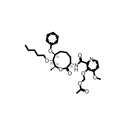 CCCCCO[C@H]1[C@H](C)OC(=O)[C@@H](NC(=O)c2nccc(OC)c2OCOC(C)=O)CCC[C@@H]1Oc1ccccc1